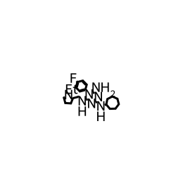 CCN1CCCC1CNC1=NC(NC2CCCCCC2)=NC(N)N1c1ccc(F)cc1